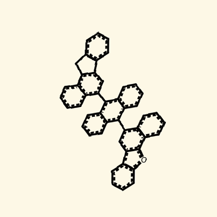 c1ccc2c(c1)Cc1c-2cc(-c2c3ccccc3c(-c3cc4c5ccccc5oc4c4ccccc34)c3ccccc23)c2ccccc12